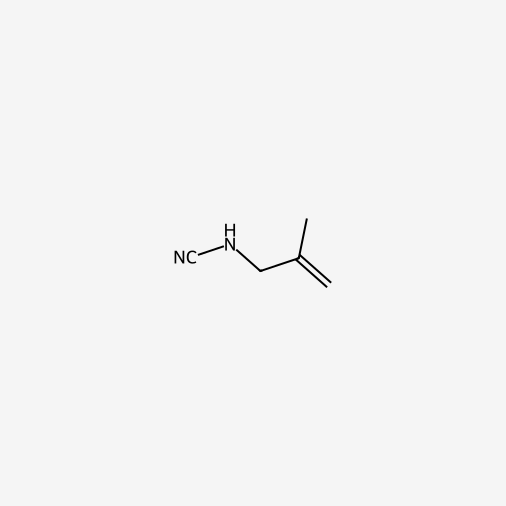 C=C(C)CNC#N